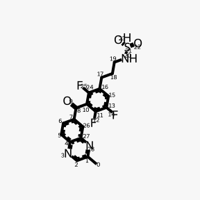 Cc1cnc2ccc(C(=O)c3c(F)c(F)cc(CCCN[SH](=O)=O)c3F)cc2n1